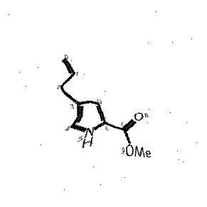 C=CCc1c[nH]c(C(=O)OC)c1